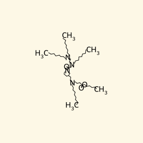 CCCCCCCCCN(CCCC(=O)OCCCCC)CCC1CCCN(C(=O)CN(CCCCCCCCC)CCN(CCCCCCCCC)CCCCCCCCC)C1